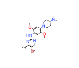 [2H]c1nc(Nc2cc(OC)c(N3CCC(N(C)C)CC3)cc2OC)ncc1Br